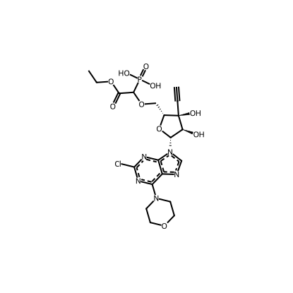 C#C[C@@]1(O)[C@@H](COC(C(=O)OCC)P(=O)(O)O)O[C@@H](n2cnc3c(N4CCOCC4)nc(Cl)nc32)[C@@H]1O